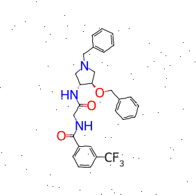 O=C(CNC(=O)c1cccc(C(F)(F)F)c1)N[C@@H]1CN(Cc2ccccc2)C[C@H]1OCc1ccccc1